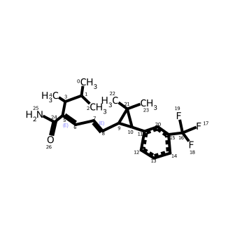 CC(C)C(C)/C(=C\C=C\C1C(c2cccc(C(F)(F)F)c2)C1(C)C)C(N)=O